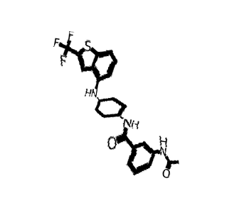 CC(=O)Nc1cccc(C(=O)N[C@H]2CC[C@@H](Nc3cccc4sc(C(F)(F)F)cc34)CC2)c1